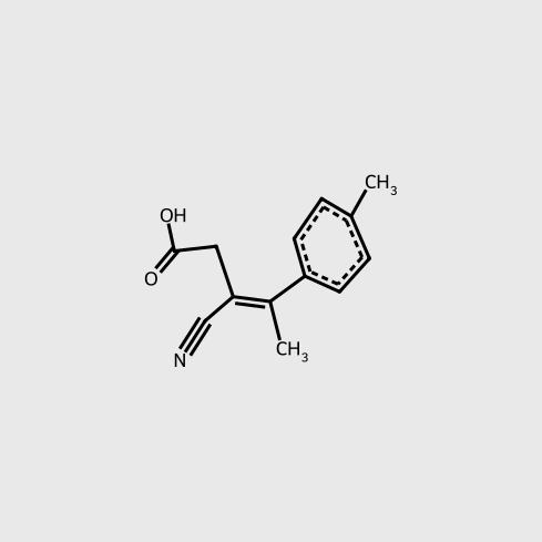 C/C(=C(\C#N)CC(=O)O)c1ccc(C)cc1